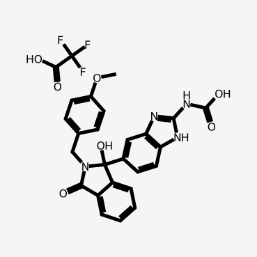 COc1ccc(CN2C(=O)c3ccccc3C2(O)c2ccc3[nH]c(NC(=O)O)nc3c2)cc1.O=C(O)C(F)(F)F